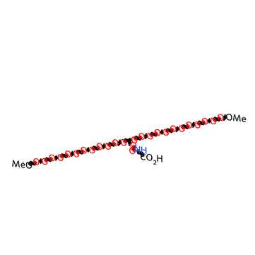 COCCOCCOCCOCCOCCOCCOCCOCCOCCOCCOCCOCCOCC(COCCOCCOCCOCCOCCOCCOCCOCCOCCOCCOCCOCCOC)COC(=O)NCCC(=O)O